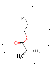 [CH2]C(C)CCOC(=O)C(=C)C